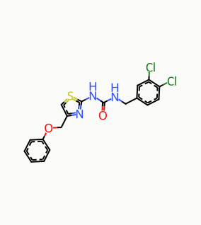 O=C(NCc1ccc(Cl)c(Cl)c1)Nc1nc(COc2ccccc2)cs1